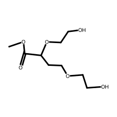 COC(=O)C(CCOCCO)OCCO